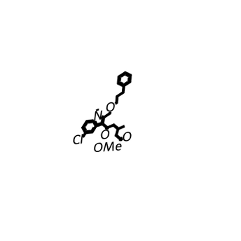 COC(=O)CC(C)CC(=O)c1c(COCCCc2ccccc2)n(C)c2ccc(Cl)cc12